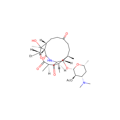 CC[C@H]1OC(=O)[C@H](C)C(=O)[C@H](C)[C@@H](O[C@@H]2O[C@H](C)C[C@H](N(C)C)[C@H]2OC(C)=O)[C@]2(C)CCC(=O)CC[C@H]([C@@H](C)C(=O)N[C@H](C)C2)[C@]1(C)O